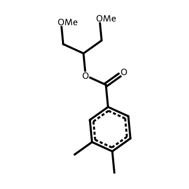 COCC(COC)OC(=O)c1ccc(C)c(C)c1